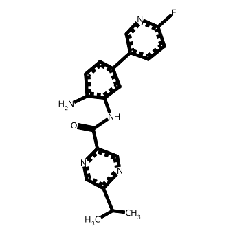 CC(C)c1cnc(C(=O)Nc2cc(-c3ccc(F)nc3)ccc2N)cn1